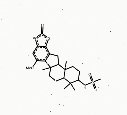 COc1cc2[nH]c(=O)oc2c2c1C1(C)CCC3C(C)(C)C(NS(C)(=O)=O)CCC3(C)C1C2